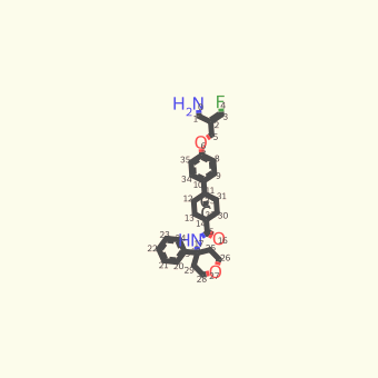 NC/C(=C\F)COc1ccc(C23CCC(C(=O)NC4(c5ccccc5)CCOCC4)(CC2)CC3)cc1